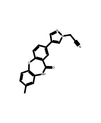 Cc1ccc2c(c1)NC(=O)c1cc(-c3cnn(CC#N)c3)ccc1O2